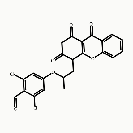 CC(CC1C(=O)CC(=O)c2c1oc1ccccc1c2=O)Oc1cc(Cl)c(C=O)c(Cl)c1